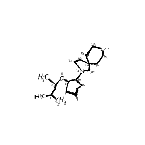 CC(C)[C@@H](C)OC1CCCC1N1CCC2(CCOCC2)C1